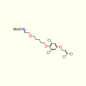 CO/N=C/COCCCCCOc1c(Cl)cc(OCC=C(Cl)Cl)cc1Cl